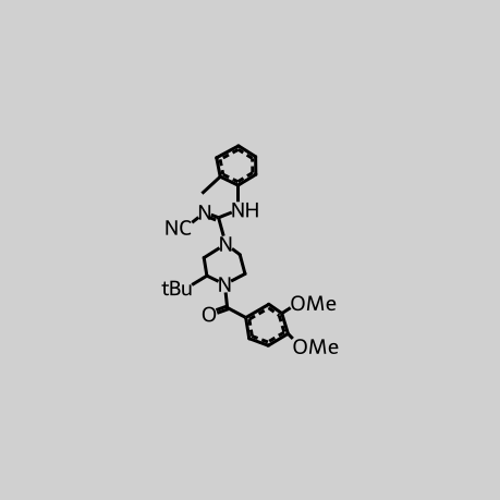 COc1ccc(C(=O)N2CCN(/C(=N\C#N)Nc3ccccc3C)CC2C(C)(C)C)cc1OC